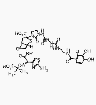 CC(C)(O/N=C(\C(=O)N[C@@H]1C(=O)N2C[C@@](C(=O)O)(N3CCN(NC(=O)NNC(=O)NCCNC(=O)c4ccc(O)c(O)c4Cl)C3=O)S[C@H]12)c1csc(N)n1)C(=O)O